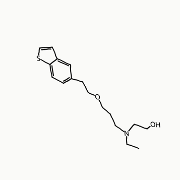 CCN(CCO)CCCOCCc1ccc2sccc2c1